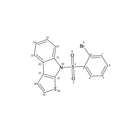 O=S(=O)(c1ccccc1Br)n1c2ccccc2c2ccsc21